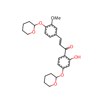 COc1cc(C=CC(=O)c2ccc(OC3CCCCO3)cc2O)ccc1OC1CCCCO1